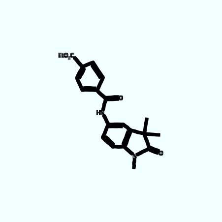 CCOC(=O)c1ccc(C(=O)Nc2ccc3c(c2)C(C)(C)C(=O)N3C)cc1